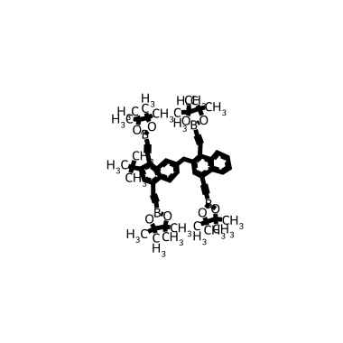 CC(C)(C)c1cc(C#CB2OC(C)(C)C(C)(C)O2)c2ccc(Cc3cc(C#CB4OC(C)(C)C(C)(C)O4)c4ccccc4c3C#CB3OC(C)(C)C(C)(C)O3)cc2c1C#CB1OC(C)(C)C(C)(C)O1